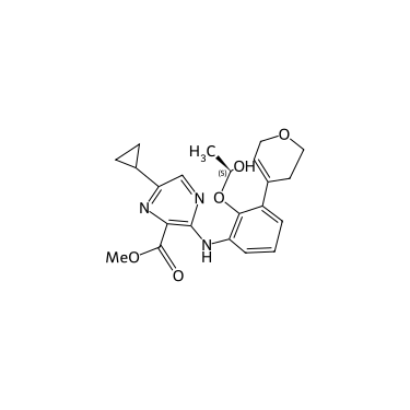 COC(=O)c1nc(C2CC2)cnc1Nc1cccc(C2=CCOCC2)c1O[C@@H](C)O